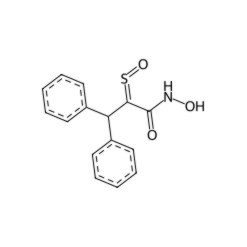 O=S=C(C(=O)NO)C(c1ccccc1)c1ccccc1